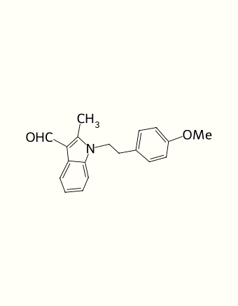 COc1ccc(CCn2c(C)c(C=O)c3ccccc32)cc1